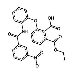 CCOC(=O)c1cccc(Oc2ccccc2NC(=O)c2cccc([N+](=O)[O-])c2)c1C(=O)O